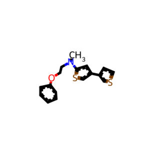 CN(CCOc1ccccc1)c1cc(-c2ccsc2)cs1